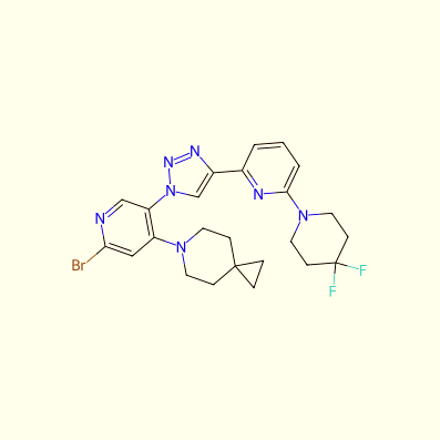 FC1(F)CCN(c2cccc(-c3cn(-c4cnc(Br)cc4N4CCC5(CC4)CC5)nn3)n2)CC1